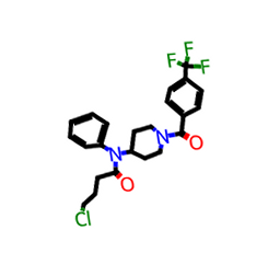 O=C(c1ccc(C(F)(F)F)cc1)N1CCC(N(C(=O)CCCCl)c2ccccc2)CC1